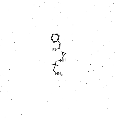 CC/C(=C\c1ccccc1)[C@@H]1C[C@H]1NCC(C)(C)CN